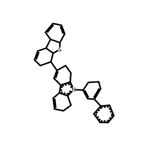 C1=CC2SC3C(C4=Cc5c6c(n(C7=CC(c8ccccc8)=CCC7)c5CC4)CCC=C6)CC=CC3C2C=C1